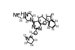 CC1CC2(CCc3c(nc(OC[C@@H]4CCCN4C)nc3N3CCN[C@@H](CC#N)C3)O2)c2ccccc21